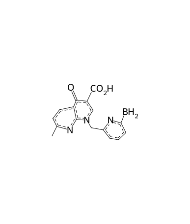 Bc1cccc(Cn2cc(C(=O)O)c(=O)c3ccc(C)nc32)n1